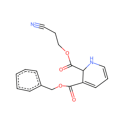 N#CCCOC(=O)C1NC=CC=C1C(=O)OCc1ccccc1